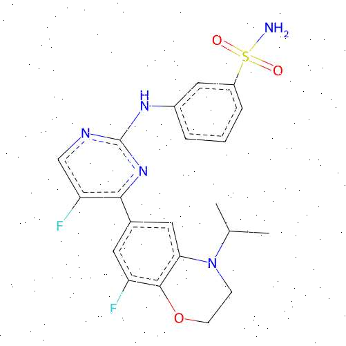 CC(C)N1CCOc2c(F)cc(-c3nc(Nc4cccc(S(N)(=O)=O)c4)ncc3F)cc21